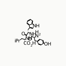 CC(C)C[C@H](NC(=O)[C@H](Cc1c[nH]c2ccccc12)NC(=O)[C@@H](N)Cc1ccc(O)cc1)C(=O)O